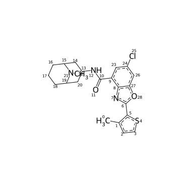 Cc1ccsc1-c1nc2c(C(=O)NC3CC4CCCC(C3)N4C)cc(Cl)cc2o1